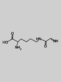 N=CC(=O)NCCCCC(N)C(=O)O